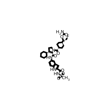 CS(=O)(=O)NC(=O)c1cc2cc(NC(=O)[C@@H]3[C@H](C4CCCCC4)CCN3C(=O)[C@H]3CC[C@H]([C@@H](CF)OC(N)=O)CC3)ccc2[nH]1